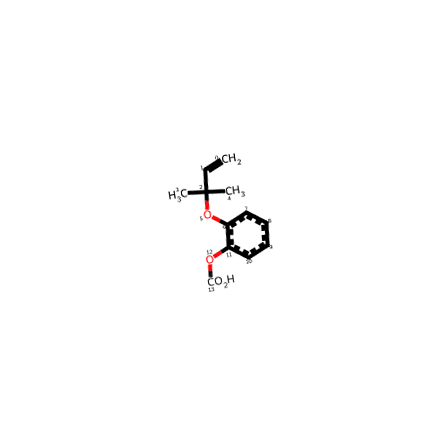 C=CC(C)(C)Oc1ccccc1OC(=O)O